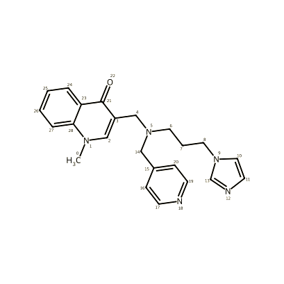 Cn1cc(CN(CCCn2ccnc2)Cc2ccncc2)c(=O)c2ccccc21